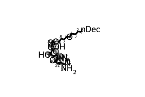 CCCCCCCCCCCCCCOCCCCOP(=O)(O)O[C@H]1O[C@@](C)(c2ccc3c(N)ncnn23)[C@H](O)[C@@H]1O